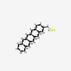 SCc1ccc2cc3cc4cc5ccccc5cc4cc3cc2c1